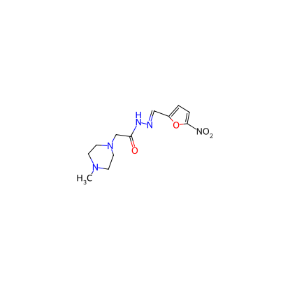 CN1CCN(CC(=O)NN=Cc2ccc([N+](=O)[O-])o2)CC1